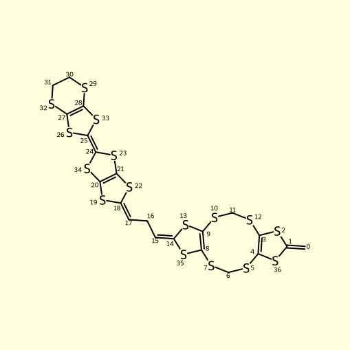 C=C1SC2=C(SCSC3=C(SCS2)SC(=CCC=C2SC4=C(S2)SC(=C2SC5=C(SCCS5)S2)S4)S3)S1